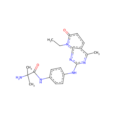 CCn1c(=O)ccc2c(C)nc(Nc3ccc(NC(=O)C(C)(C)N)cc3)nc21